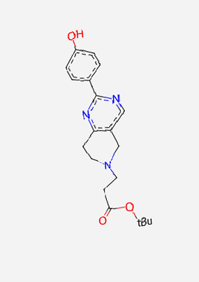 CC(C)(C)OC(=O)CCN1CCc2nc(-c3ccc(O)cc3)ncc2C1